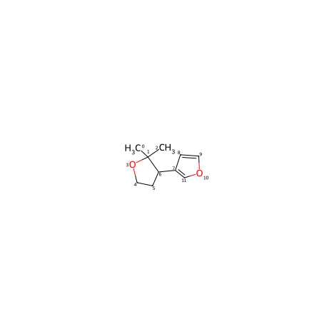 CC1(C)OCCC1c1ccoc1